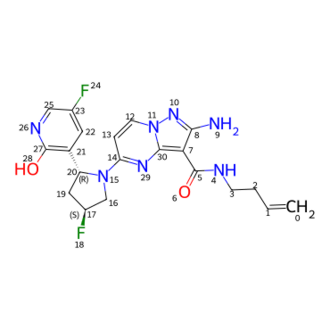 C=CCCNC(=O)c1c(N)nn2ccc(N3C[C@@H](F)C[C@@H]3c3cc(F)cnc3O)nc12